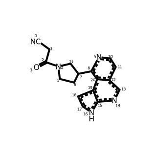 N#CCC(=O)N1CCC(c2nccc3cnc4[nH]ccc4c23)C1